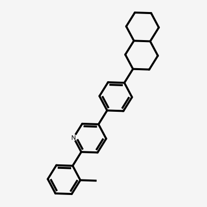 Cc1ccccc1-c1ccc(-c2ccc(C3CCC4CCCCC4C3)cc2)cn1